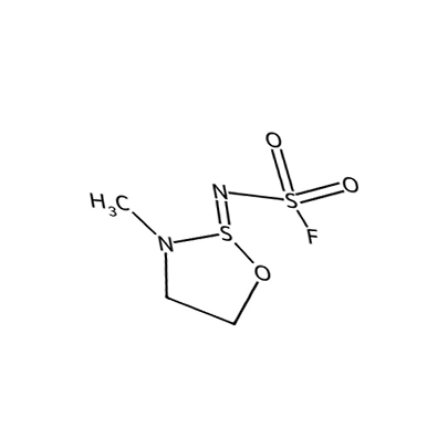 CN1CCOS1=NS(=O)(=O)F